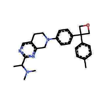 Cc1ccc(C2(c3ccc(N4CCc5cnc(C(C)N(C)C)nc5C4)cc3)COC2)cc1